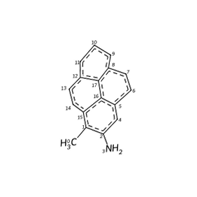 Cc1c(N)cc2ccc3cccc4ccc1c2c34